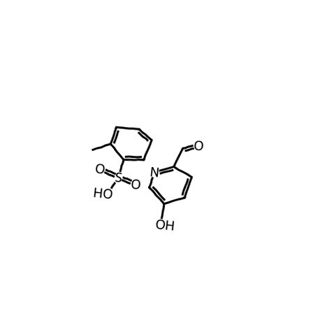 Cc1ccccc1S(=O)(=O)O.O=Cc1ccc(O)cn1